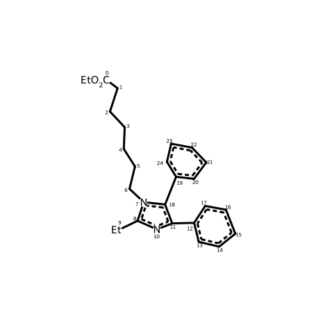 CCOC(=O)CCCCCCn1c(CC)nc(-c2ccccc2)c1-c1ccccc1